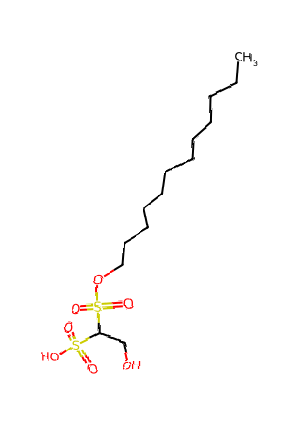 CCCCCCCCCCCCOS(=O)(=O)C(CO)S(=O)(=O)O